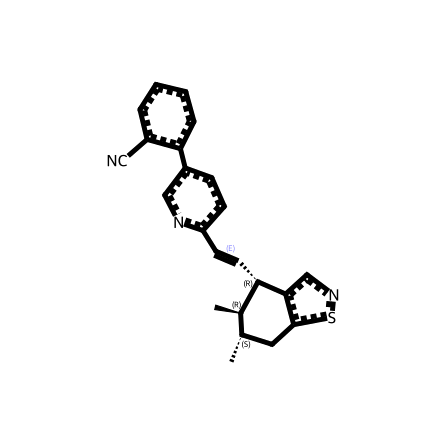 C[C@H]1[C@H](/C=C/c2ccc(-c3ccccc3C#N)cn2)c2cnsc2C[C@@H]1C